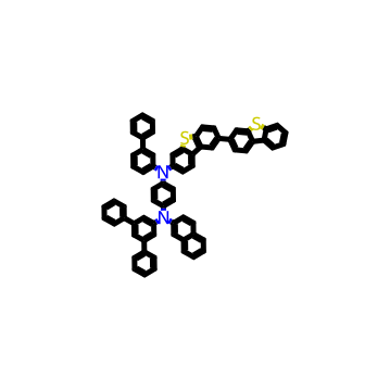 c1ccc(-c2cccc(N(c3ccc(N(c4cc(-c5ccccc5)cc(-c5ccccc5)c4)c4ccc5ccccc5c4)cc3)c3ccc4c(c3)sc3ccc(-c5ccc6c(c5)sc5ccccc56)cc34)c2)cc1